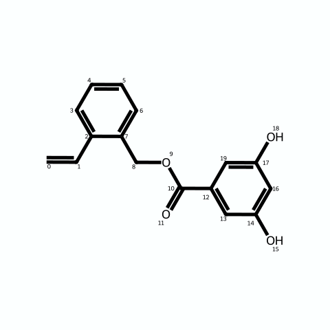 C=Cc1ccccc1COC(=O)c1cc(O)cc(O)c1